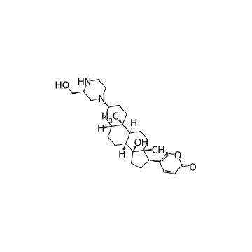 C[C@]12CC[C@H](N3CCN[C@H](CO)C3)C[C@H]1CC[C@@H]1[C@@H]2CC[C@]2(C)[C@@H](c3ccc(=O)oc3)CC[C@]12O